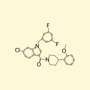 COc1ccccc1C1CCN(C(=O)c2cn(Cc3cc(F)cc(F)c3)c3cc(Cl)ccc23)CC1